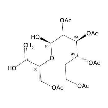 C=C(O)[C@@H](COC(C)=O)O[C@@H](O)C(OC(C)=O)[C@@H](OC(C)=O)[C@@H](CCOC(C)=O)OC(C)=O